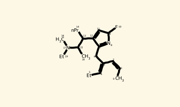 C/C=C\C(=C\CC)CC1=NC(F)C=C1C(CCC)C(C)N(C)CC